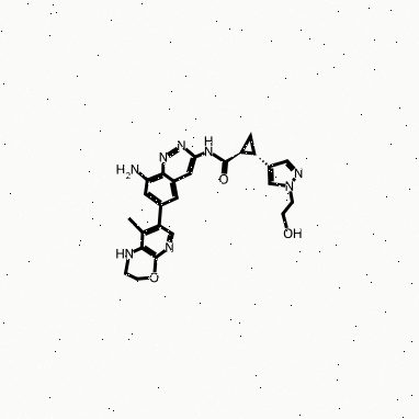 Cc1c(-c2cc(N)c3nnc(NC(=O)[C@H]4C[C@@H]4c4cnn(CCO)c4)cc3c2)cnc2c1NCCO2